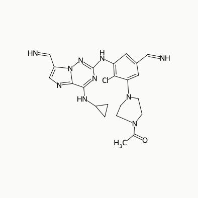 CC(=O)N1CCN(c2cc(C=N)cc(Nc3nc(NC4CC4)c4ncc(C=N)n4n3)c2Cl)CC1